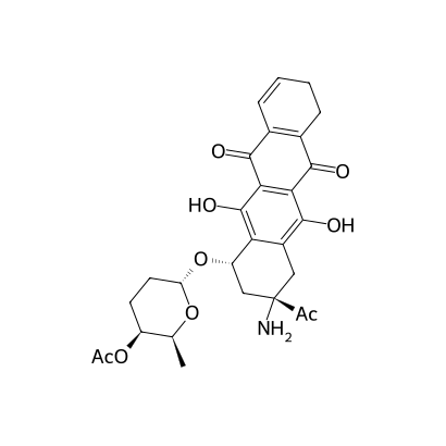 CC(=O)O[C@H]1CC[C@H](O[C@H]2C[C@](N)(C(C)=O)Cc3c(O)c4c(c(O)c32)C(=O)C2=C(CCC=C2)C4=O)O[C@H]1C